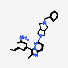 CC=C/C=C(\C=C(/C)N)c1c(C)nc2ccc(N3CC4CN(Cc5ccccc5)CC4C3)nn12